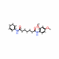 COc1ccc(NC(=O)CCCCCC(=O)NC2=CCCC=C2)c(OC)c1